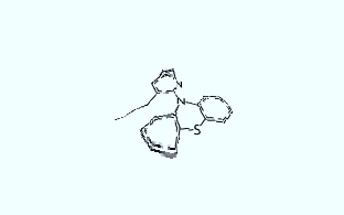 CCCc1cccnc1N1c2ccccc2Sc2ccccc21